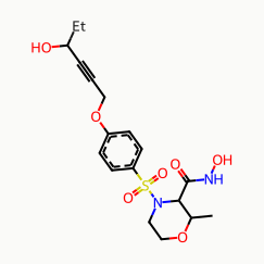 CCC(O)C#CCOc1ccc(S(=O)(=O)N2CCOC(C)C2C(=O)NO)cc1